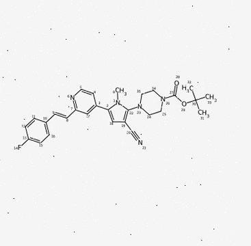 Cn1c(-c2ccnc(/C=C/c3ccc(F)cc3)c2)cc(C#N)c1N1CCN(C(=O)OC(C)(C)C)CC1